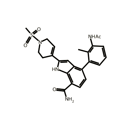 CC(=O)Nc1cccc(-c2ccc(C(N)=O)c3[nH]c(C4=CCN(S(C)(=O)=O)CC4)cc23)c1C